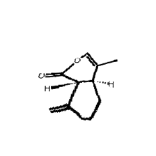 C=C1CC[C@@H]2C(C)=COC(=O)[C@@H]12